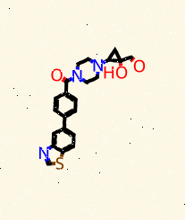 O=CC1(O)CC1N1CCN(C(=O)c2ccc(-c3ccc4scnc4c3)cc2)CC1